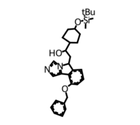 CC(C)(C)[Si](C)(C)OC1CCC(C(O)CC2c3cccc(OCc4ccccc4)c3-c3cncn32)CC1